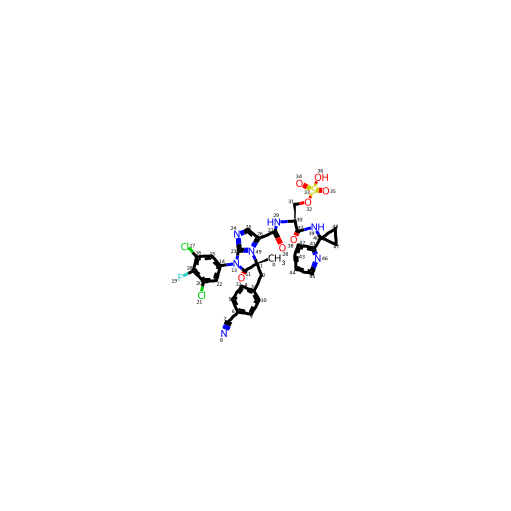 C[C@@]1(Cc2ccc(C#N)cc2)C(=O)N(c2cc(Cl)c(F)c(Cl)c2)c2ncc(C(=O)N[C@@H](COS(=O)(=O)O)C(=O)NC3(c4ccccn4)CC3)n21